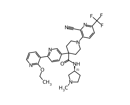 CCOc1ncccc1-c1ccc(C2(C(=O)N[C@H]3CCN(C)C3)CCN(c3ccc(C(F)(F)F)nc3C#N)CC2)cn1